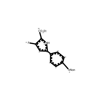 CCCCCCCCCc1ccc(-c2cc(F)c(C(=O)OCC)[nH]2)cc1